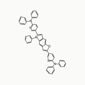 c1ccc(N(c2ccccc2)c2ccc(-c3cc4cc5c(cc(-c6ccc(N(c7ccccc7)c7ccccc7)nc6)n5-c5ccccc5)cc4o3)cn2)cc1